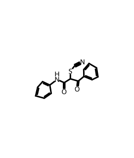 N#CSC(C(=O)Nc1ccccc1)C(=O)c1ccccc1